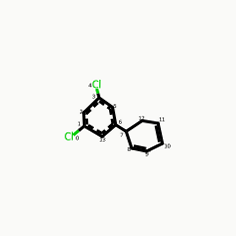 Clc1cc(Cl)cc(C2C=[C]C=CC2)c1